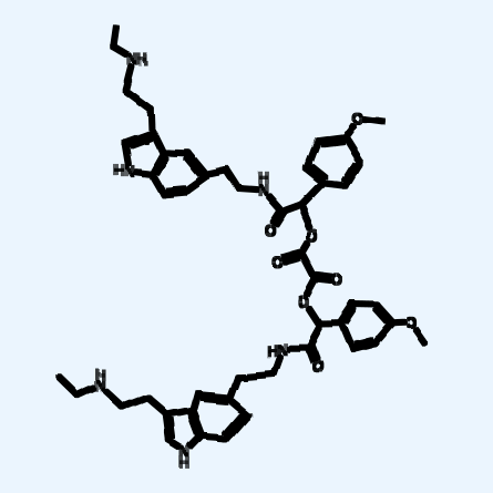 CCNCCc1c[nH]c2ccc(CCNC(=O)C(OC(=O)C(=O)OC(C(=O)NCCc3ccc4[nH]cc(CCNCC)c4c3)c3ccc(OC)cc3)c3ccc(OC)cc3)cc12